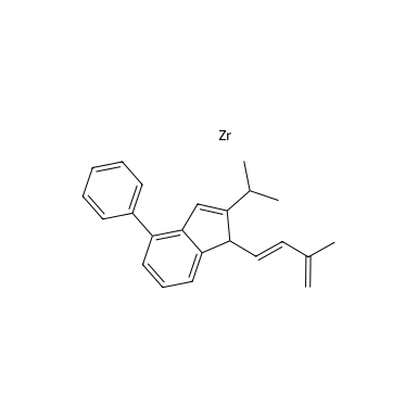 C=C(C)C=CC1C(C(C)C)=Cc2c(-c3ccccc3)cccc21.[Zr]